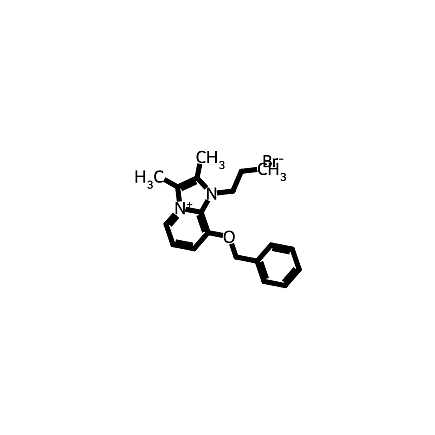 CCCn1c(C)c(C)[n+]2cccc(OCc3ccccc3)c12.[Br-]